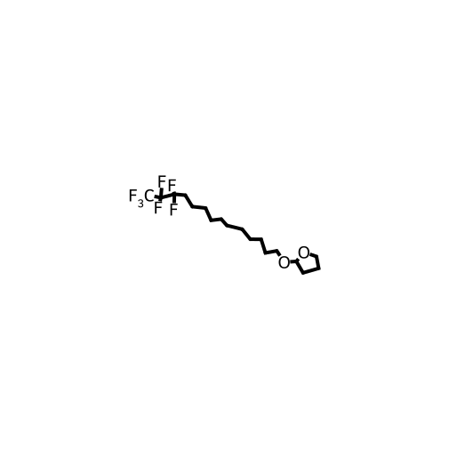 FC(F)(F)C(F)(F)C(F)(F)CCCCCCCCCCCOC1CCCO1